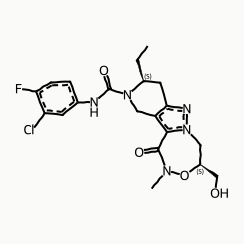 CC[C@H]1Cc2nn3c(c2CN1C(=O)Nc1ccc(F)c(Cl)c1)C(=O)N(C)O[C@H](CO)C3